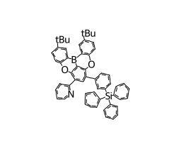 CC(C)(C)c1ccc2c(c1)B1c3cc(C(C)(C)C)ccc3Oc3c(-c4ccccn4)cc(-c4cccc([Si](c5ccccc5)(c5ccccc5)c5ccccc5)c4)c(c31)O2